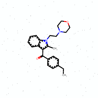 CCc1ccc(C(=O)c2c(C)n(CCN3CCOCC3)c3ccccc23)cc1